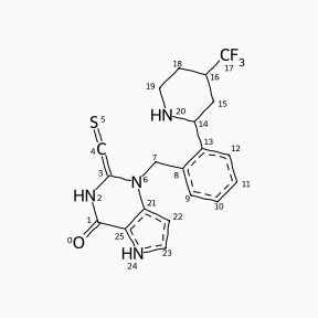 O=C1NC(=C=S)N(Cc2ccccc2C2CC(C(F)(F)F)CCN2)c2cc[nH]c21